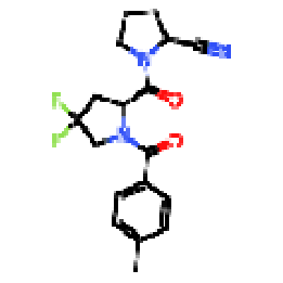 Cc1ccc(C(=O)N2CC(F)(F)C[C@H]2C(=O)N2CCC[C@H]2C#N)cc1